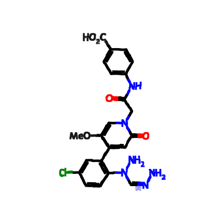 COc1cn(CC(=O)Nc2ccc(C(=O)O)cc2)c(=O)cc1-c1cc(Cl)ccc1N(N)/C=N\N